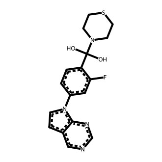 OC(O)(c1ccc(-n2ccc3cn[c]nc32)cc1F)N1CCSCC1